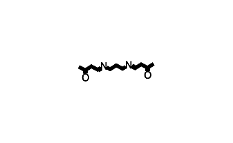 CC(=O)CC=NCCCN=CCC(C)=O